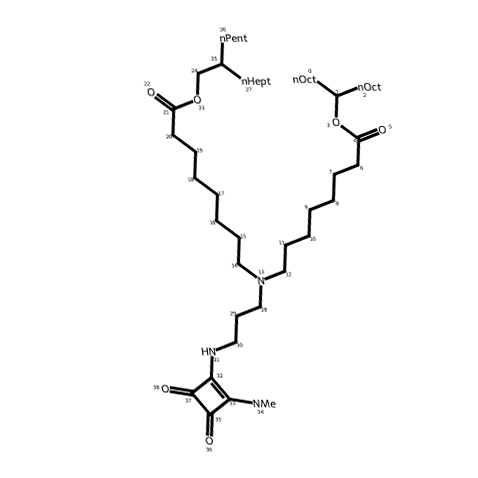 CCCCCCCCC(CCCCCCCC)OC(=O)CCCCCCCN(CCCCCCCC(=O)OCC(CCCCC)CCCCCCC)CCCNc1c(NC)c(=O)c1=O